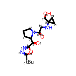 CC(C)(C)c1nnc(C(=O)C2CCCN2C(=O)CNC2(CO)CC2)o1